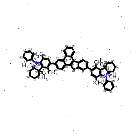 Cc1cc(-c2ccc3c(c2)Cc2c-3c3ccccc3c3cc(-c4cc(C)c5c(c4C)C4(C)CCCCC4(C)N5c4ccccc4)ccc23)c(C)c2c1N(c1ccccc1)C1(C)CCCCC21C